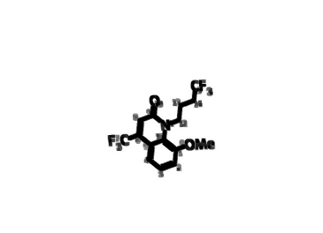 COc1cccc2c(C(F)(F)F)cc(=O)n(CCCC(F)(F)F)c12